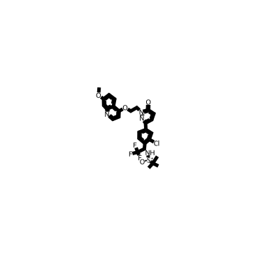 COc1ccc2c(OCCn3nc(-c4ccc([C@H](N[S@@+]([O-])C(C)(C)C)C(F)(F)F)c(Cl)c4)ccc3=O)ccnc2c1